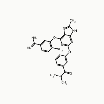 Cc1nc2c(Oc3cc(C(=N)N)ccc3N)nc(Oc3cccc(C(=O)N(C)C)c3)nc2[nH]1